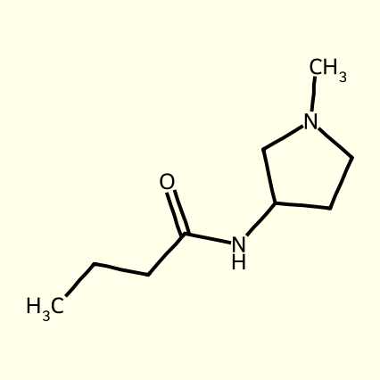 CCCC(=O)NC1CCN(C)C1